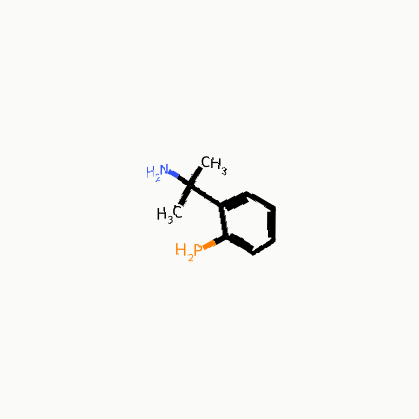 CC(C)(N)c1ccccc1P